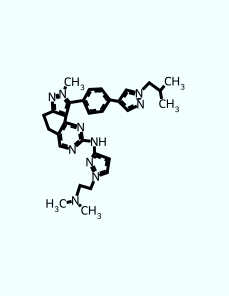 CC(C)Cn1cc(-c2ccc(-c3c4c(nn3C)CCc3cnc(Nc5ccn(CCN(C)C)n5)nc3-4)cc2)cn1